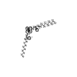 CCCCCCCCCC[S+]([O-])CCOS(=O)(=O)OCC[S+]([O-])CCCCCCCCCC